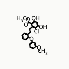 COC(=O)c1c(O)cc(O)c(Cl)c1CCc1ccccc1Oc1cccc(OC)c1